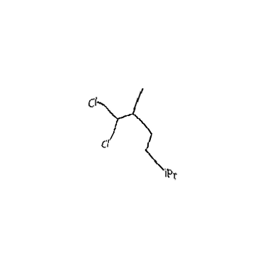 CC(C)CCC(C)C(Cl)Cl